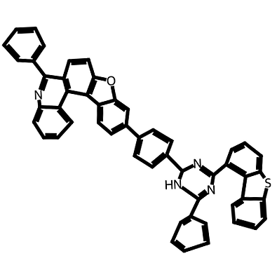 c1ccc(C2=NC(c3cccc4sc5ccccc5c34)=NC(c3ccc(-c4ccc5c(c4)oc4ccc6c(-c7ccccc7)nc7ccccc7c6c45)cc3)N2)cc1